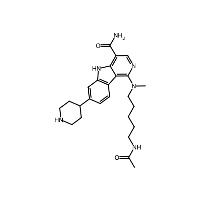 CC(=O)NCCCCCN(C)c1ncc(C(N)=O)c2[nH]c3cc(C4CCNCC4)ccc3c12